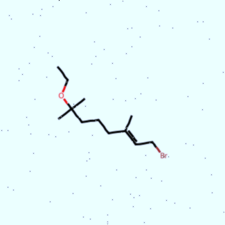 CCOC(C)(C)CCC/C(C)=C/CBr